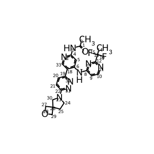 CC(=O)Nc1cc(Nc2ccnc(C(C)(F)F)n2)c(-c2ccc(N3CCC4(COC4)C3)nn2)cn1